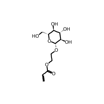 C=CC(=O)OCCO[C@@H]1O[C@H](CO)[C@@H](O)[C@H](O)[C@H]1O